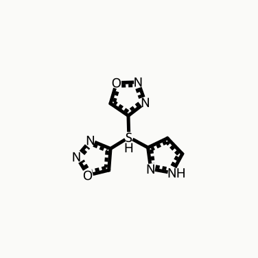 c1cc([SH](c2conn2)c2conn2)n[nH]1